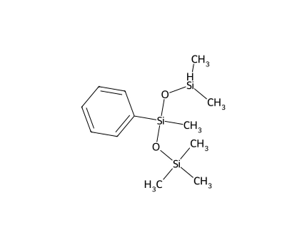 C[SiH](C)O[Si](C)(O[Si](C)(C)C)c1ccccc1